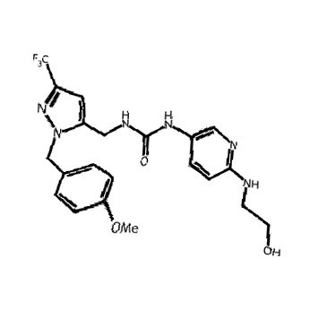 COc1ccc(Cn2nc(C(F)(F)F)cc2CNC(=O)Nc2ccc(NCCO)nc2)cc1